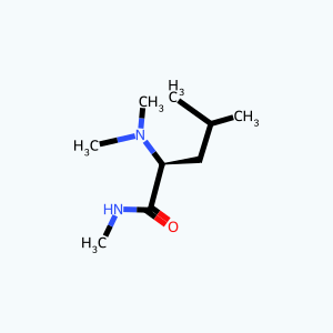 CNC(=O)[C@H](CC(C)C)N(C)C